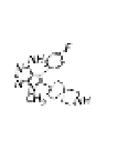 Cn1c(C2=CCC3(CCNCC3)CC2)c(-c2ccc(F)cc2)c2c(N)ncnc21